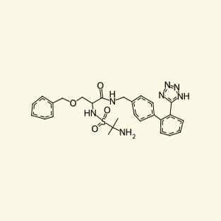 CC(C)(N)S(=O)(=O)NC(COCc1ccccc1)C(=O)NCc1ccc(-c2ccccc2-c2nnn[nH]2)cc1